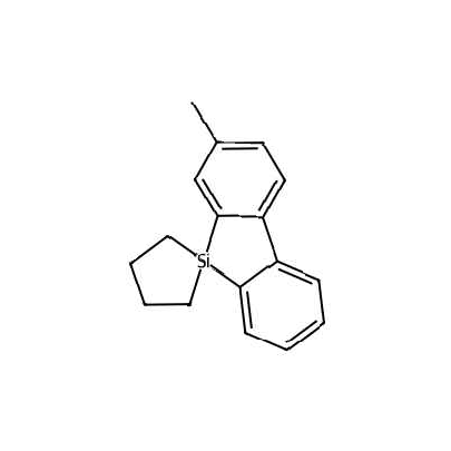 Cc1ccc2c(c1)[Si]1(CCCC1)c1ccccc1-2